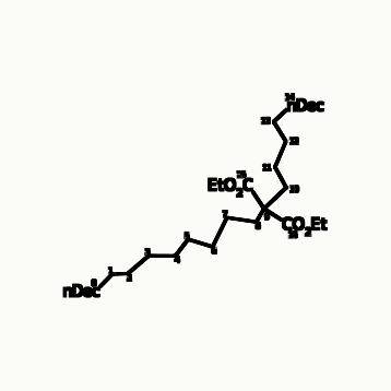 CCCCCCCCCCCCCCCCCCC(CCCCCCCCCCCCCC)(C(=O)OCC)C(=O)OCC